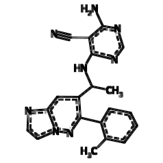 Cc1ccccc1-c1nn2ccnc2cc1C(C)Nc1ncnc(N)c1C#N